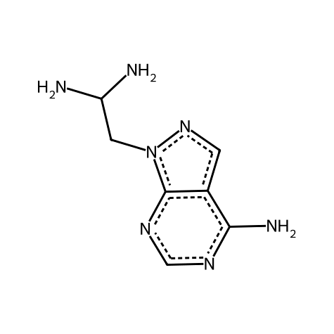 Nc1ncnc2c1cnn2CC(N)N